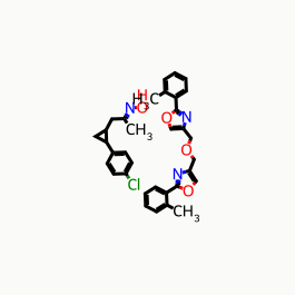 C/C(CC1CC1c1ccc(Cl)cc1)=N\O.Cc1ccccc1-c1nc(COCc2coc(-c3ccccc3C)n2)co1